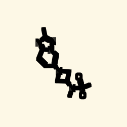 Cc1nc2ccc(N3CC(N(C)S(C)(=O)=O)C3)cn2n1